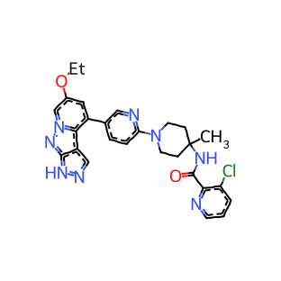 CCOc1cc(-c2ccc(N3CCC(C)(NC(=O)c4ncccc4Cl)CC3)nc2)c2c3cn[nH]c3nn2c1